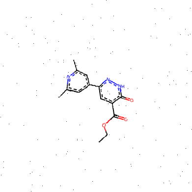 CCOC(=O)c1cc(-c2cc(C)nc(C)c2)n[nH]c1=O